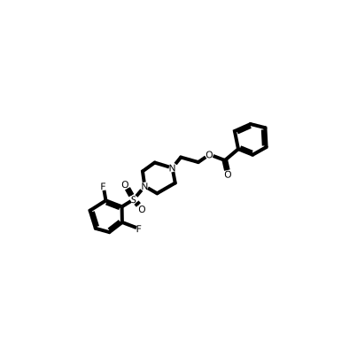 O=C(OCCN1CCN(S(=O)(=O)c2c(F)cccc2F)CC1)c1ccccc1